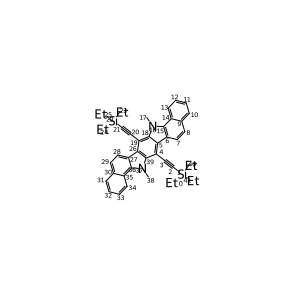 CC[Si](C#Cc1c2c3ccc4ccccc4c3n(C)c2c(C#C[Si](CC)(CC)CC)c2c3ccc4ccccc4c3n(C)c12)(CC)CC